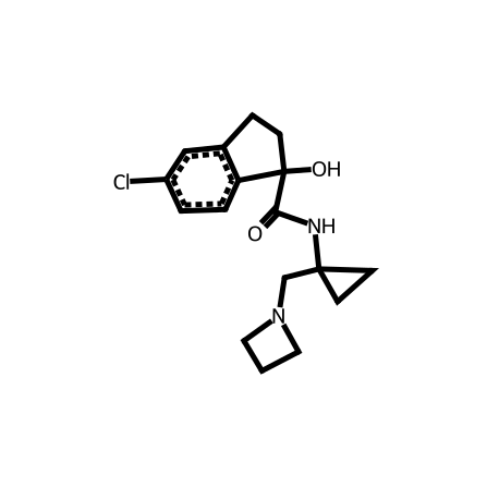 O=C(NC1(CN2CCC2)CC1)C1(O)CCc2cc(Cl)ccc21